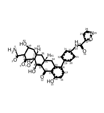 NC(=O)C1C(=O)[C@@]2(O)C(O)=C3C(=O)c4c(O)ccc(-c5ccc(NC(=O)c6ccno6)cc5)c4C[C@H]3C[C@H]2CC1O